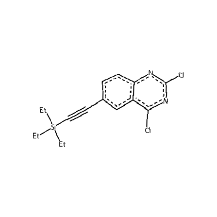 CC[Si](C#Cc1ccc2nc(Cl)nc(Cl)c2c1)(CC)CC